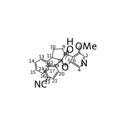 COc1cncc2c1[C@]1(O)CCC(c3ccccc3)C1(c1ccc(C#N)cc1)O2